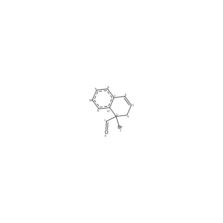 O=CC1(Br)CC=Cc2ccccc21